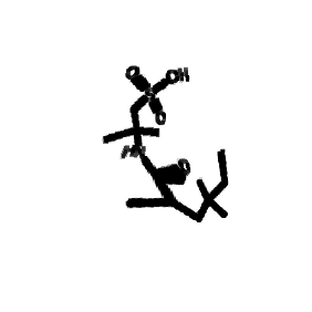 CCC(C)(C)CC(C)C(=O)NC(C)(C)CS(=O)(=O)O